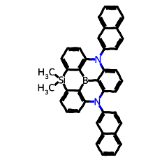 C[Si]1(C)c2cccc3c2B2c4c(cccc4N(c4ccc5ccccc5c4)c4cccc1c42)N3c1ccc2ccccc2c1